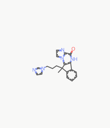 CC1(CCCn2ccnc2)c2ccccc2-c2[nH]c(=O)c3nccn3c21